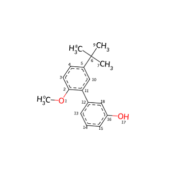 COc1ccc(C(C)(C)C)cc1-c1cccc(O)c1